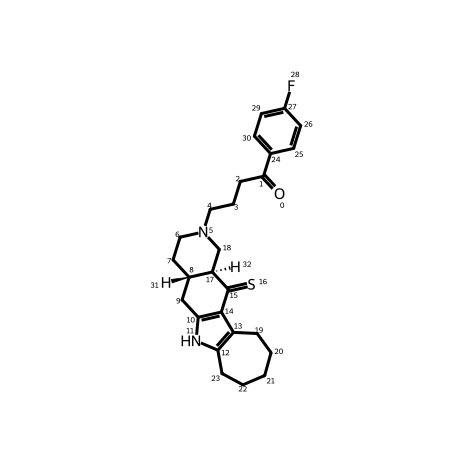 O=C(CCCN1CC[C@H]2Cc3[nH]c4c(c3C(=S)[C@@H]2C1)CCCCC4)c1ccc(F)cc1